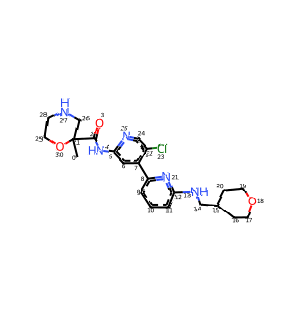 CC1(C(=O)Nc2cc(-c3cccc(NCC4CCOCC4)n3)c(Cl)cn2)CNCCO1